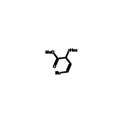 CCCCCCC(/C=C\C(C)CC)C(=O)OC